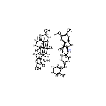 COc1cc2c(cc1OC)C(=O)/C(=C\C1(F)CCN(Cc3ccccc3F)CC1)C2.C[C@]12CC[C@@H](O)C[C@H]1CC[C@@H]1[C@@H]2C(=O)C[C@@]2(C)[C@H]1CC[C@]2(O)C(=O)CO